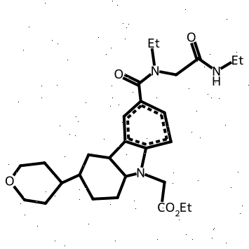 CCNC(=O)CN(CC)C(=O)c1ccc2c(c1)C1CC(C3CCOCC3)CCC1N2CC(=O)OCC